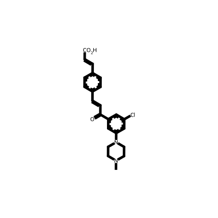 CN1CCN(c2cc(Cl)cc(C(=O)/C=C/c3ccc(/C=C/C(=O)O)cc3)c2)CC1